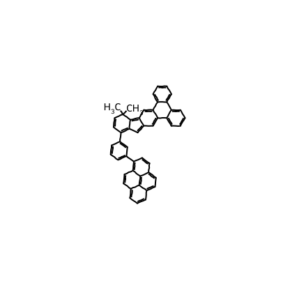 CC1(C)C=CC(c2cccc(-c3ccc4ccc5cccc6ccc3c4c56)c2)=C2C=c3cc4c5ccccc5c5ccccc5c4cc3=C21